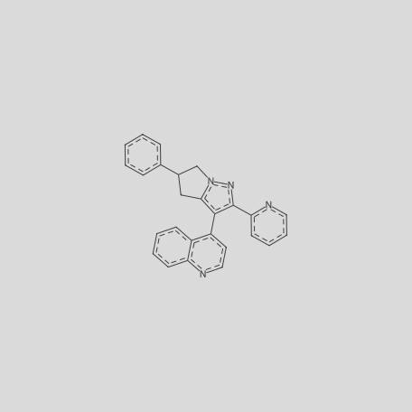 c1ccc(C2Cc3c(-c4ccnc5ccccc45)c(-c4ccccn4)nn3C2)cc1